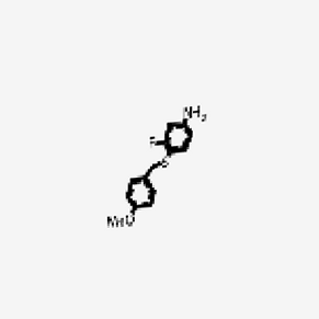 COc1ccc(CSc2ccc(N)cc2F)cc1